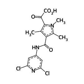 Cc1c(C(=O)Nc2cc(Cl)nc(Cl)c2)c(C)n(C)c1C(=O)C(=O)O